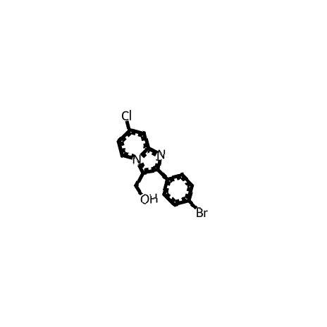 OCc1c(-c2ccc(Br)cc2)nc2cc(Cl)ccn12